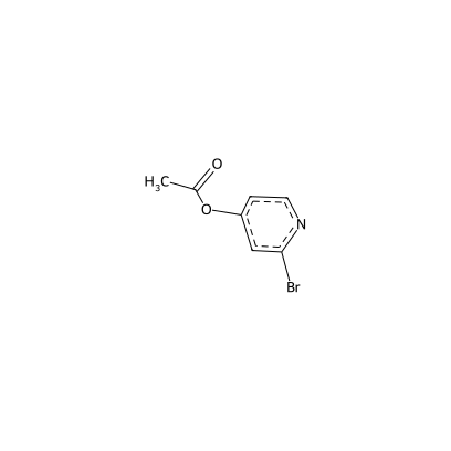 CC(=O)Oc1ccnc(Br)c1